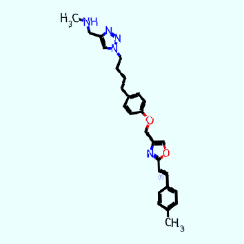 CNCc1cn(CCCCc2ccc(OCc3coc(/C=C/c4ccc(C)cc4)n3)cc2)nn1